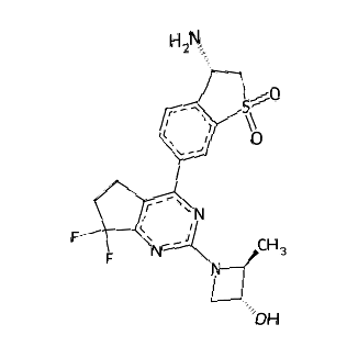 C[C@H]1[C@H](O)CN1c1nc(-c2ccc3c(c2)S(=O)(=O)C[C@H]3N)c2c(n1)C(F)(F)CC2